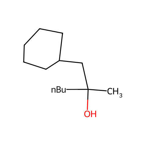 CCCCC(C)(O)CC1CCCCC1